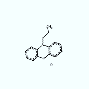 CCCN1c2ccccc2Sc2ccccc21.[K]